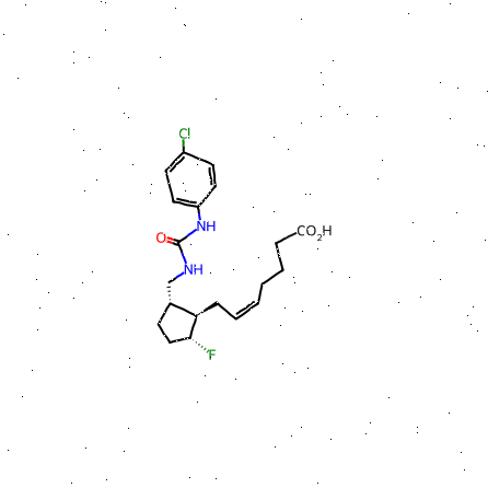 O=C(O)CCC/C=C\C[C@@H]1[C@@H](CNC(=O)Nc2ccc(Cl)cc2)CC[C@H]1F